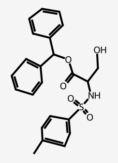 Cc1ccc(S(=O)(=O)NC(CO)C(=O)OC(c2ccccc2)c2ccccc2)cc1